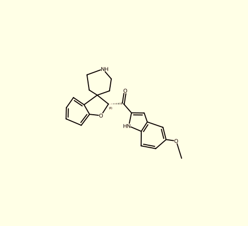 COc1ccc2[nH]c(C(=O)[C@@H]3Oc4ccccc4C34CCNCC4)cc2c1